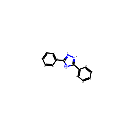 c1ccc(-c2nnc(-c3ccccc3)[nH]2)cc1